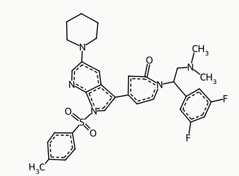 Cc1ccc(S(=O)(=O)n2cc(-c3ccn(C(CN(C)C)c4cc(F)cc(F)c4)c(=O)c3)c3cc(N4CCCCC4)cnc32)cc1